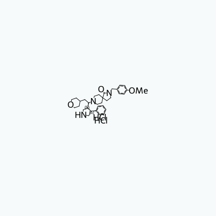 COc1ccc(CN2CCC3(CCN(C(CC4CCOCC4)[C@@H]4CNC[C@@H]4c4ccccc4)CC3)C2=O)cc1.Cl.Cl